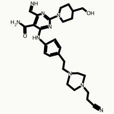 N#CCCN1CCN(CCc2ccc(Nc3nc(N4CCC(CO)CC4)nc(C=N)c3C(N)=O)cc2)CC1